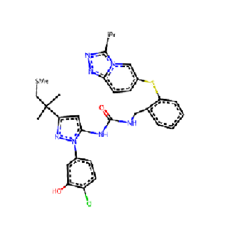 CSCC(C)(C)c1cc(NC(=O)NCc2ccccc2Sc2ccc3nnc(C(C)C)n3c2)n(-c2ccc(Cl)c(O)c2)n1